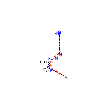 CC(=O)CCOCCOCCOCCNC(=O)CCC(NC(=O)CCC(NC(=O)CCCNC(=O)CCCS(=O)(=O)NC(=O)CCCCCCCCCCCCCCCc1nnn[nH]1)C(=O)O)C(=O)O